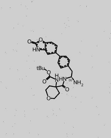 CC(C)(C)OC(=O)NC1(C(=O)N[C@H](N)Cc2ccc(-c3ccc4oc(=O)[nH]c4c3)cc2)CCOCC1